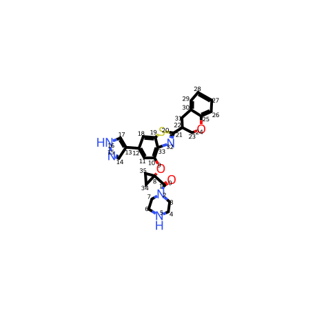 O=C(N1CCNCC1)C1(Oc2cc(-c3cn[nH]c3)cc3sc(C4COc5ccccc5C4)nc23)CC1